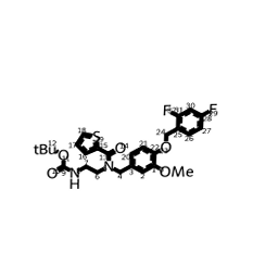 COc1cc(CN(CCNC(=O)OC(C)(C)C)C(=O)c2cccs2)ccc1OCc1ccc(F)cc1F